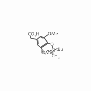 COc1cc(CC(=O)O)cc(OC)c1O[Si](C)(C)C(C)(C)C